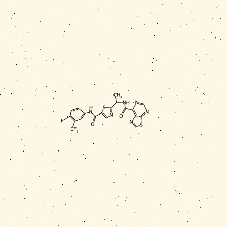 CC(NC(=O)c1ncnc2scnc12)c1ncc(C(=O)Nc2ccc(F)c(C(F)(F)F)c2)s1